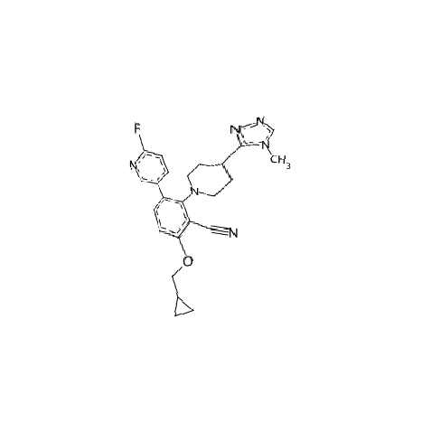 Cn1cnnc1C1CCN(c2c(-c3ccc(F)nc3)ccc(OCC3CC3)c2C#N)CC1